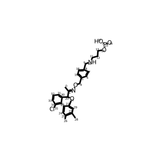 C/C(=N\OCc1ccc(CNCCCO[P](=O)O)cc1)C(Oc1ccc(C)c(C)c1)c1cccc(Cl)c1